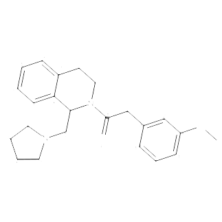 COc1cccc(CC(=O)N2CCc3ccccc3C2CN2CCCC2)c1